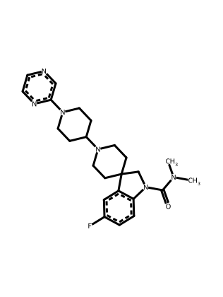 CN(C)C(=O)N1CC2(CCN(C3CCN(c4cnccn4)CC3)CC2)c2cc(F)ccc21